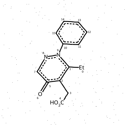 CCc1c(CC(=O)O)c(=O)cnn1-c1ccccc1